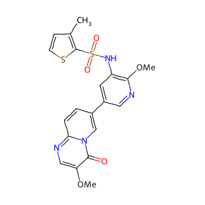 COc1ncc(-c2ccc3ncc(OC)c(=O)n3c2)cc1NS(=O)(=O)c1sccc1C